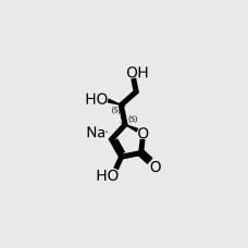 O=C1O[C@H]([C@@H](O)CO)C=C1O.[Na]